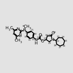 Cc1cc(C)nc(N(C)c2ccc(NC(=O)OC3CC(=O)N(C4CCCCCC4)C3)cc2)n1